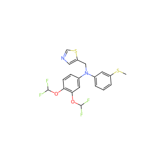 CSc1cccc(N(Cc2cncs2)c2ccc(OC(F)F)c(OC(F)F)c2)c1